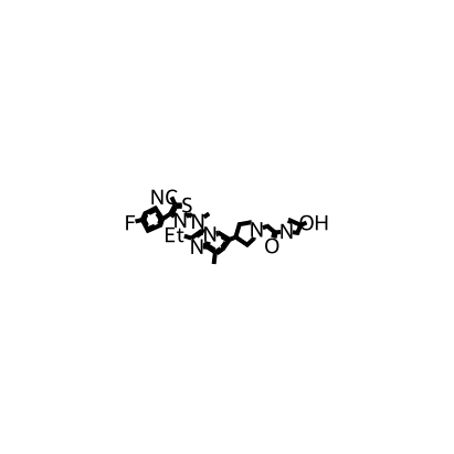 CCc1nc2c(C)cc(C3CCN(CC(=O)N4CC(O)C4)CC3)cn2c1N(C)c1nc(-c2ccc(F)cc2)c(C#N)s1